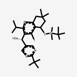 CC(C)c1nc2c(c(I)c1[C@@H](O)c1cnc(C(C)(C)C)nc1)C(O[Si](C)(C)C(C)(C)C)CC(C)(C)C2